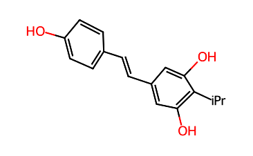 CC(C)c1c(O)cc(C=Cc2ccc(O)cc2)cc1O